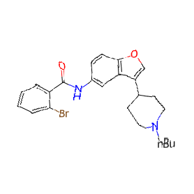 CCCCN1CCC(c2coc3ccc(NC(=O)c4ccccc4Br)cc23)CC1